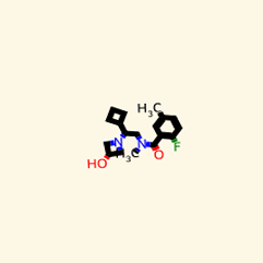 Cc1ccc(F)c(C(=O)N(C)CC(C2CCC2)N2CC(O)C2)c1